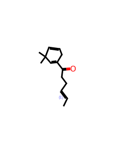 C/C=C/CCC(=O)C1=CC(C)(C)C=CC1